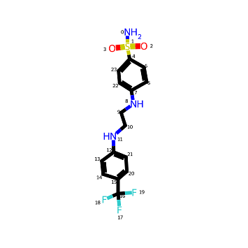 NS(=O)(=O)c1ccc(NCCNc2ccc(C(F)(F)F)cc2)cc1